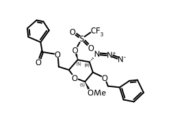 CO[C@H]1OC(COC(=O)c2ccccc2)[C@@H](OS(=O)(=O)C(F)(F)F)[C@H](N=[N+]=[N-])C1OCc1ccccc1